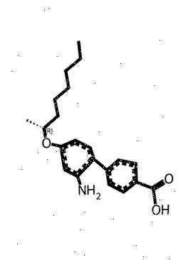 CCCCCC[C@@H](C)Oc1ccc(-c2ccc(C(=O)O)cc2)c(N)c1